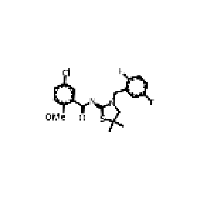 COc1ccc(Cl)cc1C(=O)/N=C1\SC(C)(C)CN1Cc1cc(F)ccc1F